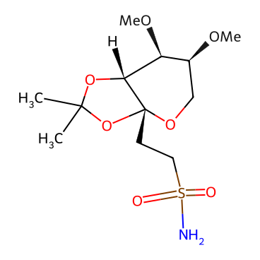 CO[C@H]1[C@@H](OC)CO[C@]2(CCS(N)(=O)=O)OC(C)(C)O[C@H]12